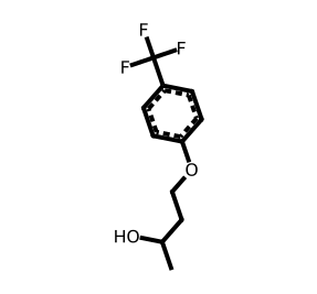 CC(O)CCOc1ccc(C(F)(F)F)cc1